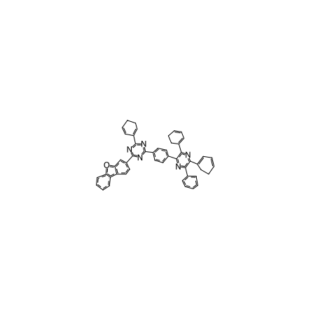 C1=CCCC(c2nc(C3=CC=CCC3)c(-c3ccc(-c4nc(C5=CCCC=C5)nc(-c5ccc6c(c5)oc5ccccc56)n4)cc3)nc2-c2ccccc2)=C1